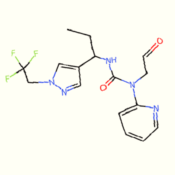 CCC(NC(=O)N(CC=O)c1ccccn1)c1cnn(CC(F)(F)F)c1